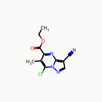 CCOC(=O)c1nc2c(C#N)cnn2c(Cl)c1C